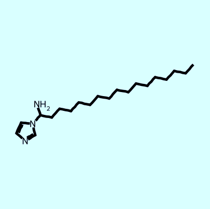 CCCCCCCCCCCCCCCCC(N)n1ccnc1